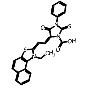 CCN1C(=CC=C2C(=O)N(c3ccccc3)C(=S)N2C(=O)O)Sc2ccc3ccccc3c21